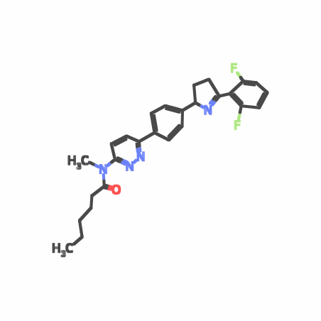 CCCCCC(=O)N(C)c1ccc(-c2ccc(C3CCC(c4c(F)cccc4F)=N3)cc2)nn1